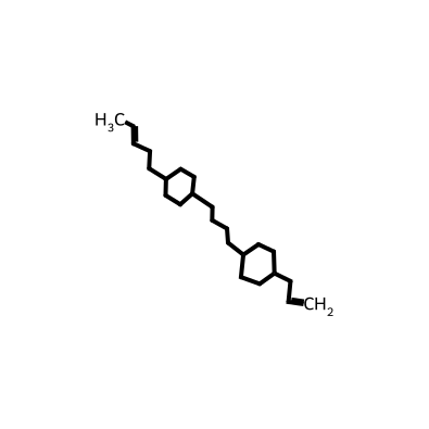 C=CCC1CCC(CCCCC2CCC(CCC=CC)CC2)CC1